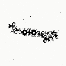 CC(C)C(=O)OCC(O)COc1ccc(C(C)(C)c2ccc(OCC(O)COC(=O)C(C)CC(C)N3C(=O)C=CC3=O)cc2)cc1